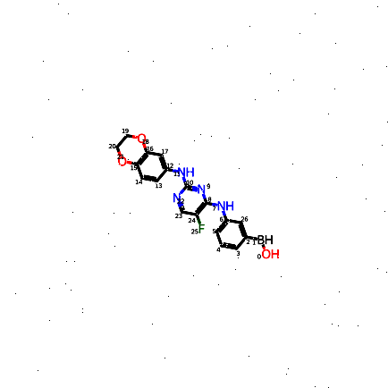 OBc1cccc(Nc2nc(Nc3ccc4c(c3)OCCO4)ncc2F)c1